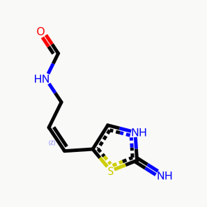 N=c1[nH]cc(/C=C\CNC=O)s1